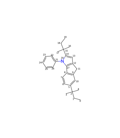 CCC(C)(C)c1ccc2c(c1)Cc1cc(C(C)(C)CC)n(-c3ccccc3)c1-2